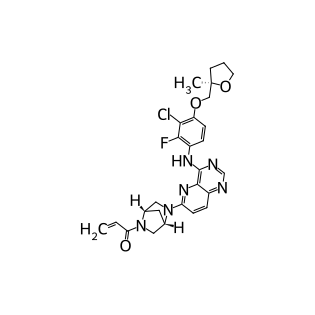 C=CC(=O)N1C[C@@H]2C[C@H]1CN2c1ccc2ncnc(Nc3ccc(OC[C@@]4(C)CCCO4)c(Cl)c3F)c2n1